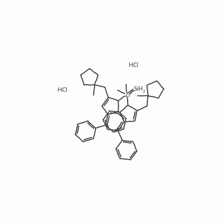 CC1(CC2=Cc3c(-c4ccccc4)cccc3[CH]2[Zr]([CH3])([CH3])(=[SiH2])[CH]2C(CC3(C)CCCC3)=Cc3c(-c4ccccc4)cccc32)CCCC1.Cl.Cl